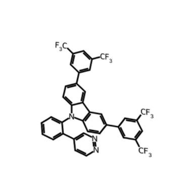 FC(F)(F)c1cc(-c2ccc3c(c2)c2cc(-c4cc(C(F)(F)F)cc(C(F)(F)F)c4)ccc2n3-c2ccccc2-c2ccnnc2)cc(C(F)(F)F)c1